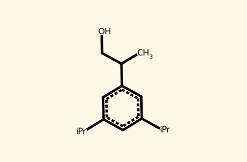 C[C](CO)c1cc(C(C)C)cc(C(C)C)c1